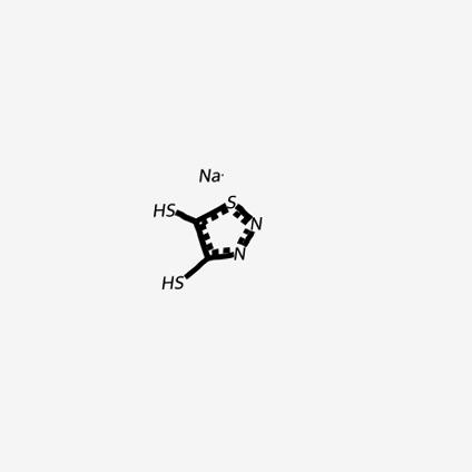 Sc1nnsc1S.[Na]